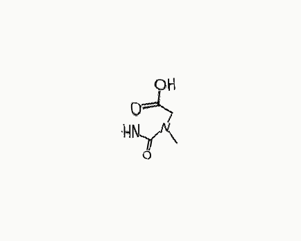 CN(CC(=O)O)C([NH])=O